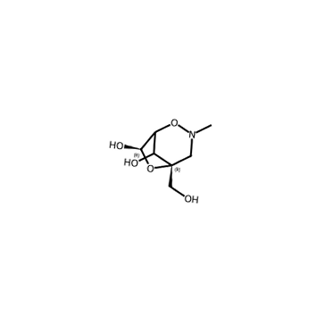 CN1C[C@]2(CO)O[C@@H](O)C(O1)C2O